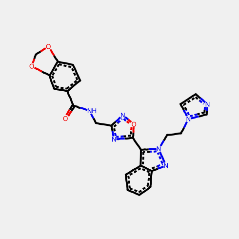 O=C(NCc1noc(-c2c3ccccc3nn2CCn2ccnc2)n1)c1ccc2c(c1)OCO2